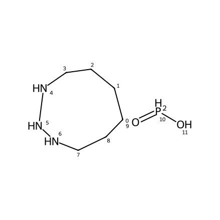 C1CCCNNNCC1.O=[PH2]O